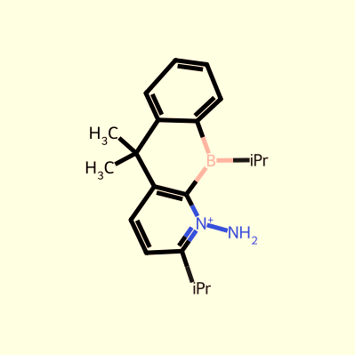 CC(C)B1c2ccccc2C(C)(C)c2ccc(C(C)C)[n+](N)c21